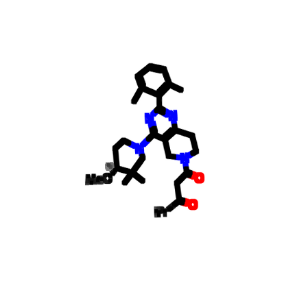 CO[C@H]1CCN(c2nc(-c3c(C)cccc3C)nc3c2CN(C(=O)CC(=O)C(C)C)CC3)CC1(C)C